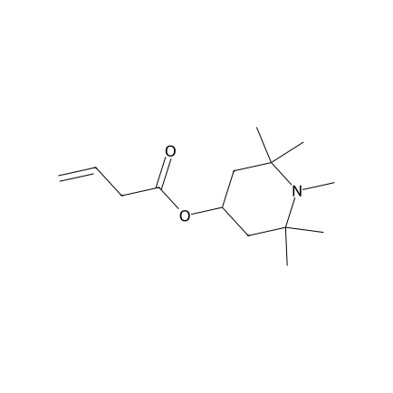 C=CCC(=O)OC1CC(C)(C)N(C)C(C)(C)C1